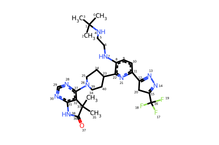 CC(C)(C)NCCNc1ccc(C2=NN=C(C(F)(F)F)C2)nc1C1CCN(c2ncnc3c2C(C)(C)C(=O)N3)CC1